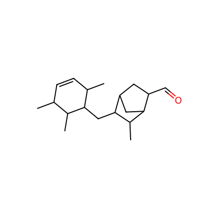 CC1C=CC(C)C(CC2C3CC(C=O)C(C3)C2C)C1C